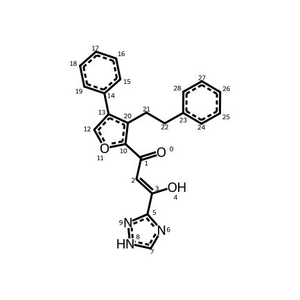 O=C(C=C(O)c1nc[nH]n1)c1occ(-c2ccccc2)c1CCc1ccccc1